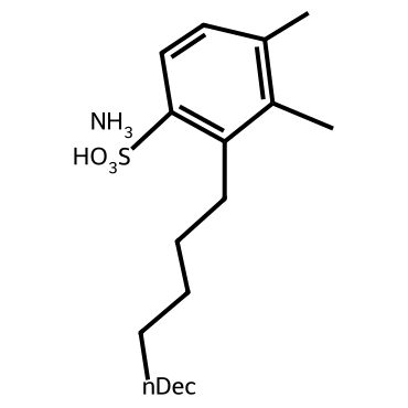 CCCCCCCCCCCCCCc1c(S(=O)(=O)O)ccc(C)c1C.N